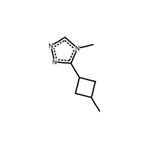 CC1CC(c2nncn2C)C1